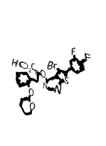 O=C(O)[C@@H](Cc1ccccc1OC1CCCCO1)Oc1ncnc2sc(-c3ccc(F)c(F)c3)c(Br)c12